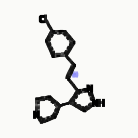 Clc1ccc(/C=C/c2n[nH]cc2-c2ccncc2)cc1